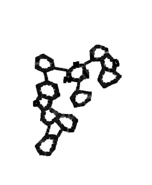 c1ccc(-c2nc(-c3ccccc3-c3ccc4c(c3)oc3cc5c6c(cccc6c34)-c3ccccc3-5)nc(-c3cccc4oc5ccccc5c34)n2)cc1